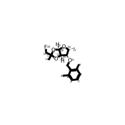 Cc1cccc(C)c1CO[C@@H]1[C@H]2OC(C)(CF)O[C@H]2O[C@@H]1C